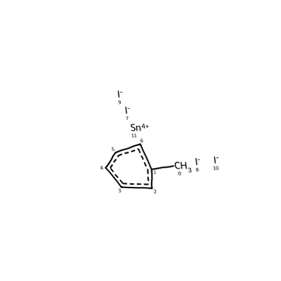 Cc1ccccc1.[I-].[I-].[I-].[I-].[Sn+4]